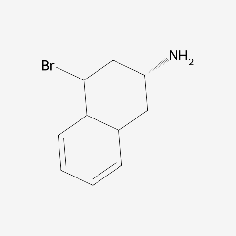 N[C@H]1CC(Br)C2C=CC=CC2C1